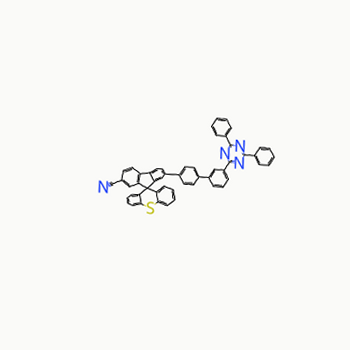 N#Cc1ccc2c(c1)C1(c3ccccc3Sc3ccccc31)c1cc(-c3ccc(-c4cccc(-c5nc(-c6ccccc6)nc(-c6ccccc6)n5)c4)cc3)ccc1-2